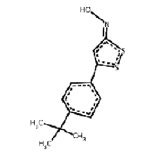 CC(C)(C)c1ccc(-c2c/c(=N\O)ss2)cc1